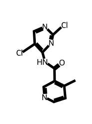 Cc1ccncc1C(=O)Nc1nc(Cl)ncc1Cl